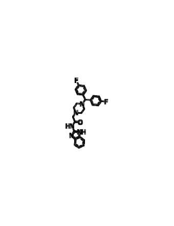 O=C(CN1CCN(C(c2ccc(F)cc2)c2ccc(F)cc2)CC1)Nc1nc2ccccc2[nH]1